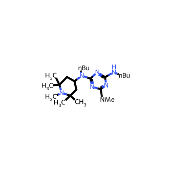 CCCCNc1nc(NC)nc(N(CCCC)C2CC(C)(C)N(C)C(C)(C)C2)n1